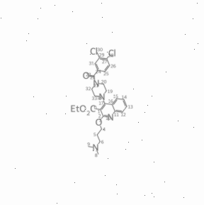 CCOC(=O)c1c(OCCCN(C)C)nc2ccccc2c1N1CCN(C(=O)c2ccc(Cl)c(Cl)c2)CC1